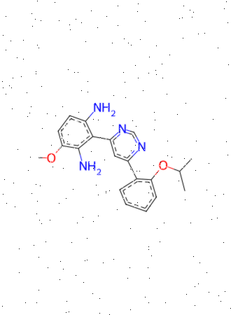 COc1ccc(N)c(-c2cc(-c3ccccc3OC(C)C)ncn2)c1N